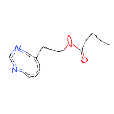 CCC(=O)OCCc1ccncn1